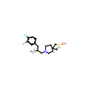 CC(Cc1ccc(F)c(F)c1)CN1CCC2(CC1)C[S+]([O-])C2